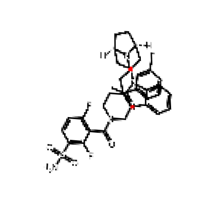 Cc1nc2ccccc2n1[C@H]1C[C@H]2CC[C@@H](C1)N2CCC1(c2cccc(F)c2)CCN(C(=O)c2c(F)ccc(S(N)(=O)=O)c2F)CC1